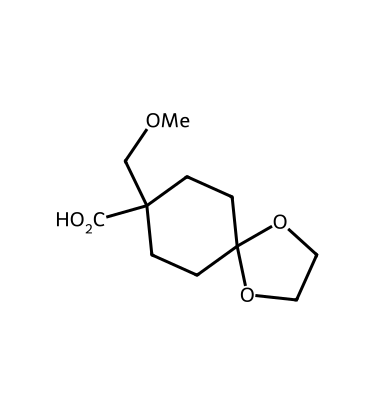 COCC1(C(=O)O)CCC2(CC1)OCCO2